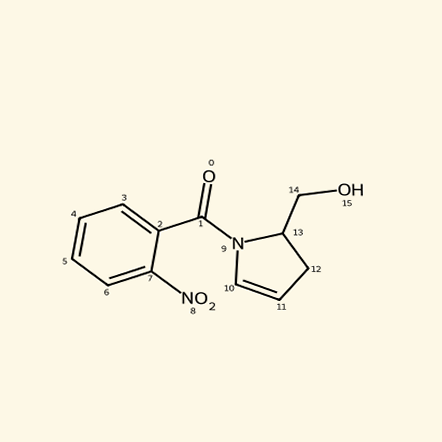 O=C(c1ccccc1[N+](=O)[O-])N1C=CCC1CO